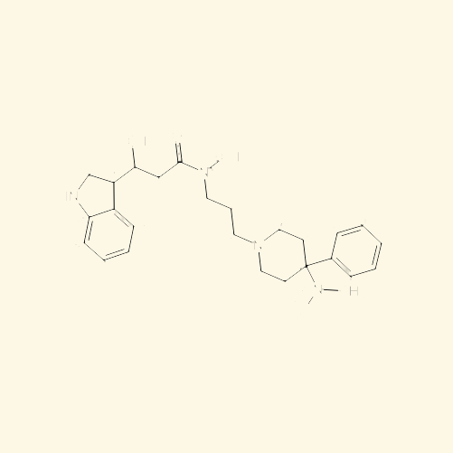 CC(CC(=O)N(C)CCCN1CCC(c2ccccc2)(N(C)C)CC1)C1CNc2ccccc21